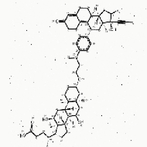 CC#C[C@@]1(O)C(C)C[C@H]2[C@@H]3CCC4=CC(=O)CCC4=C3[C@@H](c3ccc(N(C)CCO[C@H]4CC[C@@]5(C)[C@@H](C4)C[C@@H](O)[C@@H]4[C@@H]5C[C@H](O)[C@]5(C)[C@@H]([C@H](C)CCC(=O)O)CC[C@@H]45)cc3)C[C@@]21C